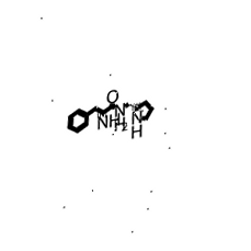 N[C@H](Cc1ccccc1)C(=O)NC[C@@H]1CCCN1